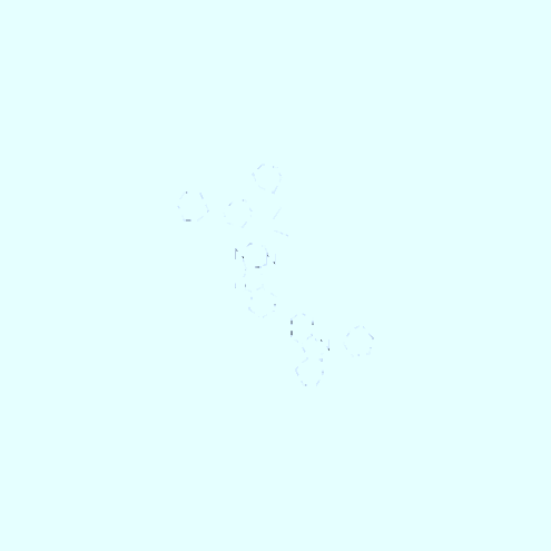 C1=C(c2ccccc2)CCC=C1c1nc2c(nc1-c1cccc(-c3ccccc3)c1)oc1ccc(-c3ccc4c(c3)c3ccccc3n4-c3ccccc3)cc12